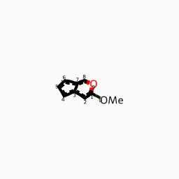 COc1cc2cc[c]c-2co1